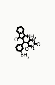 Bc1cccc(C2C3=C(Nc4c2c(=O)n(C)c(=O)n4C)c2ccccc2C3=O)c1